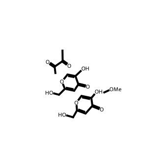 CC(=O)C(C)=O.COC.O=c1cc(CO)occ1O.O=c1cc(CO)occ1O